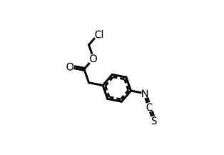 O=C(Cc1ccc(N=C=S)cc1)OCCl